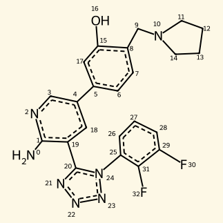 Nc1ncc(-c2ccc(CN3CCCC3)c(O)c2)cc1-c1nnnn1-c1cccc(F)c1F